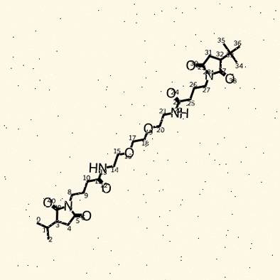 CC(C)C1CC(=O)N(CCCC(=O)NCCOCCOCCNC(=O)CCCN2C(=O)CC(C(C)(C)C)C2=O)C1=O